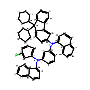 Clc1cccc(N(c2cccc(N(c3ccc4c(c3)-c3ccccc3C4(C3CCCCC3)C3CCCCC3)c3cccc4ccccc34)c2)c2cccc3ccccc23)c1